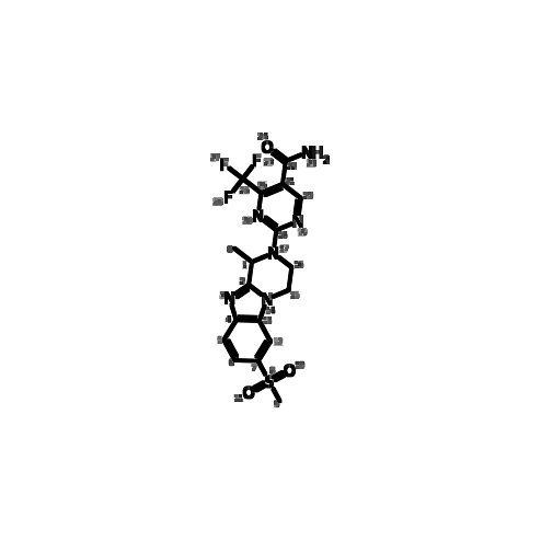 CC1c2nc3ccc(S(C)(=O)=O)cc3n2CCN1c1ncc(C(N)=O)c(C(F)(F)F)n1